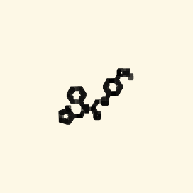 Cc1ccc(OCC(=O)N(Cc2cccs2)c2ccccc2)cc1